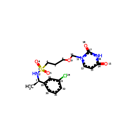 C[C@@H](NS(=O)(=O)CCCOCn1ccc(=O)[nH]c1=O)c1cccc(Cl)c1